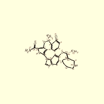 C[C@@H](Oc1cc(-n2cnc3ccc(O[C@H](C)[C@@H]4CCCNC4)cc32)sc1C(N)=O)c1ccccc1Cl